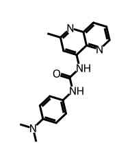 Cc1cc(NC(=O)Nc2ccc(N(C)C)cc2)c2ncccc2n1